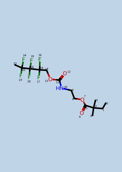 CCC(C)(C)C(=O)OCCNC(=O)OCC(F)(F)C(F)(F)C(C)(F)F